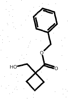 O=C(OCc1ccccc1)C1(CO)CCC1